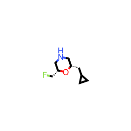 FC[C@@H]1CNC[C@H](CC2CC2)O1